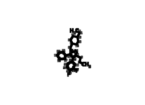 CCCc1nn(CC2CCC(CC)CC2)c(-c2ccccc2)c1-c1ccc(F)c(F)c1